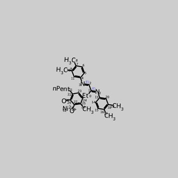 CCC(/C=N/c1ccc(C)c(C)c1)=N\c1ccc(C)c(C)c1.CCCCCc1ccc(C)c([O-])c1[O-].[Ni+2]